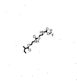 CCC(C)C(=O)OCCNC(=O)OCCNC(=O)OPF